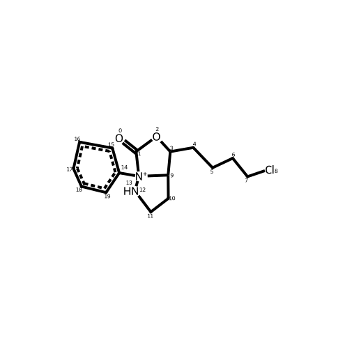 O=C1OC(CCCCCl)C2CCN[N+]12c1ccccc1